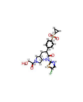 O=C(Nc1ncc(F)s1)C(CC1CCN(C(=O)CO)C1)c1ccc(S(=O)(=O)C2CC2)cc1